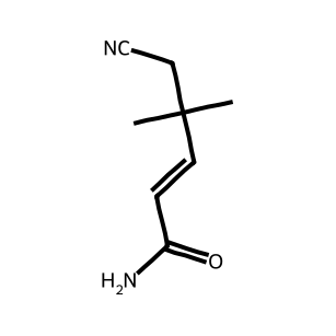 CC(C)(C=CC(N)=O)CC#N